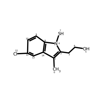 Cc1c(CCO)n(S)c2ccc(Cl)cc12